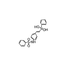 O=S(=O)(Nc1ccc(C=C[Si](O)(O)c2ccccc2)cc1)c1ccccc1